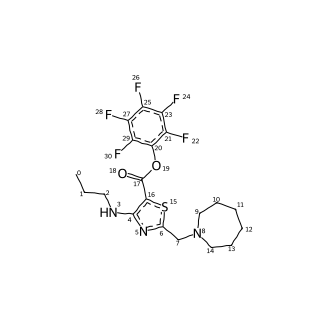 CCCNc1nc(CN2CCCCCC2)sc1C(=O)Oc1c(F)c(F)c(F)c(F)c1F